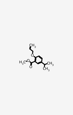 C=CCOc1ccc(C(C)C)cc1C(=O)OC